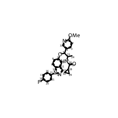 COc1ccc(C(Oc2ccc3c(cnn3-c3ccc(F)cc3)c2)C(C)NC(=O)C2CC2)cn1